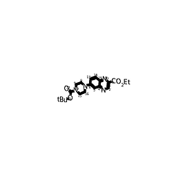 CCOC(=O)c1cnc2cc(N3CCN(C(=O)OC(C)(C)C)CC3)ccc2n1